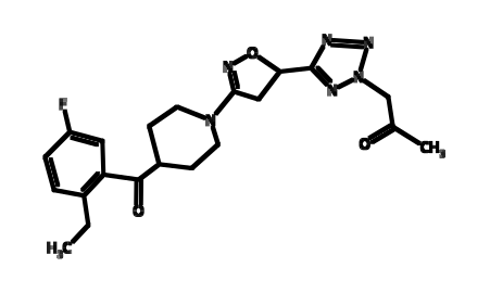 CCc1ccc(F)cc1C(=O)C1CCN(C2=NOC(c3nnn(CC(C)=O)n3)C2)CC1